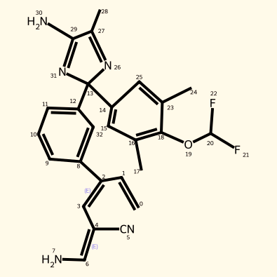 C=C/C(=C\C(C#N)=C/N)c1cccc(C2(c3cc(C)c(OC(F)F)c(C)c3)N=C(C)C(N)=N2)c1